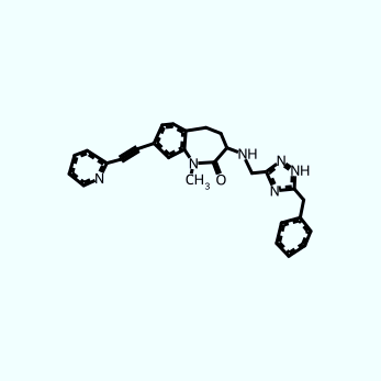 CN1C(=O)C(NCc2n[nH]c(Cc3ccccc3)n2)CCc2ccc(C#Cc3ccccn3)cc21